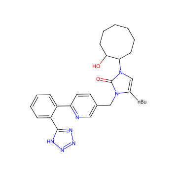 CCCCc1cn(C2CCCCCCC2O)c(=O)n1Cc1ccc(-c2ccccc2-c2nnn[nH]2)nc1